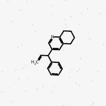 C=CC(c1ccccc1)c1cnc2c(c1)CCCC2